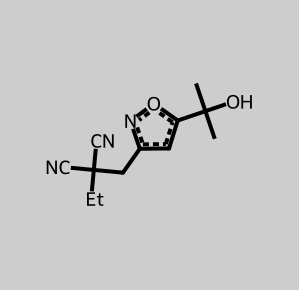 CCC(C#N)(C#N)Cc1cc(C(C)(C)O)on1